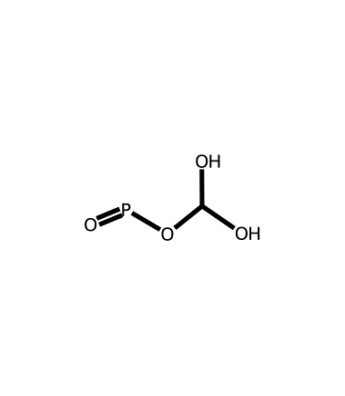 O=POC(O)O